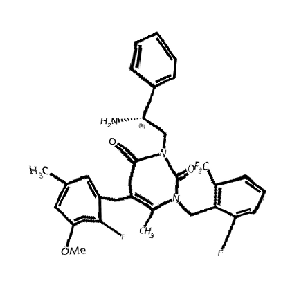 COc1cc(C)cc(-c2c(C)n(Cc3c(F)cccc3C(F)(F)F)c(=O)n(C[C@H](N)c3ccccc3)c2=O)c1F